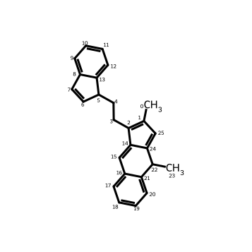 CC1=C(CCC2C=Cc3ccccc32)C2=Cc3ccccc3C(C)C2=C1